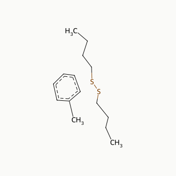 CCCCSSCCCC.Cc1ccccc1